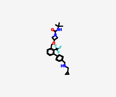 CC(C)(C)NC(=O)N1CC(OCc2cccc(-c3ccc(CNCC4CC4)cc3)c2C(F)(F)F)C1